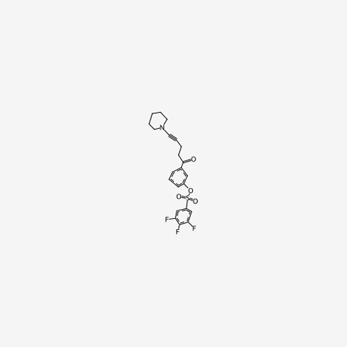 O=C(CCC#CN1CCCCC1)c1cccc(OS(=O)(=O)c2cc(F)c(F)c(F)c2)c1